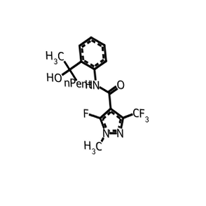 CCCCCC(C)(O)c1ccccc1NC(=O)c1c(C(F)(F)F)nn(C)c1F